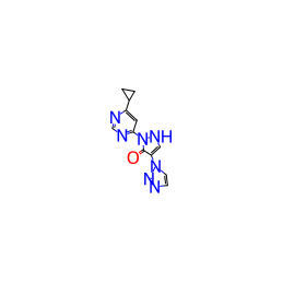 O=c1c(-n2ccnn2)c[nH]n1-c1cc(C2CC2)ncn1